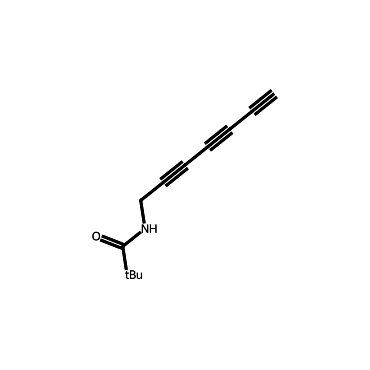 C#CC#CC#CCNC(=O)C(C)(C)C